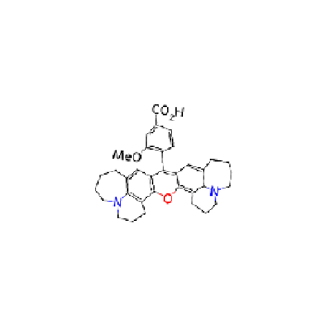 COc1cc(C(=O)O)ccc1C1=C2C=C3CCCCN4CCCC(=C2Oc2c1cc1c5c2CCCN5CCCC1)C34